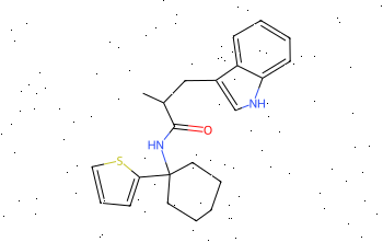 CC(Cc1c[nH]c2ccccc12)C(=O)NC1(c2cccs2)CCCCC1